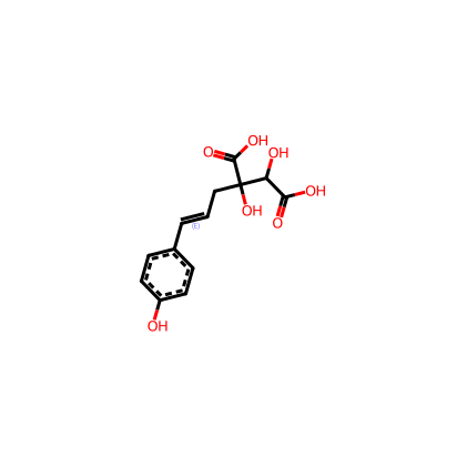 O=C(O)C(O)C(O)(C/C=C/c1ccc(O)cc1)C(=O)O